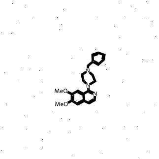 COc1cc2ccnc(N3CCN(Cc4ccccc4)CC3)c2cc1OC